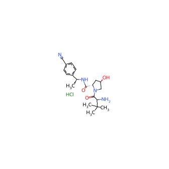 C[C@H](NC(=O)[C@@H]1C[C@@H](O)CN1C(=O)C(N)C(C)(C)C)c1ccc(C#N)cc1.Cl